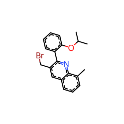 Cc1cccc2cc(CBr)c(-c3ccccc3OC(C)C)nc12